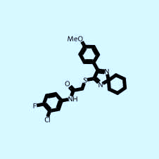 COc1ccc(C2=NC3(CCCCC3)N=C2SCC(=O)Nc2ccc(F)c(Cl)c2)cc1